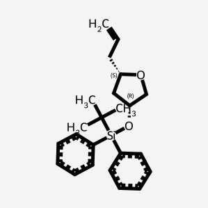 C=CC[C@H]1C[C@@H](O[Si](c2ccccc2)(c2ccccc2)C(C)(C)C)CO1